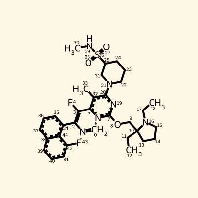 C=N/C(=C(/F)c1nc(OCC2(CC)CCCN2CC)nc(N2CCCC(S(=O)(=O)NC)C2)c1C)c1cccc2cccc(F)c12